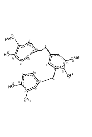 COc1cc(Cc2cc(Cc3ccc(O)c(OC)c3)c(O)c(OC)c2)ccc1O